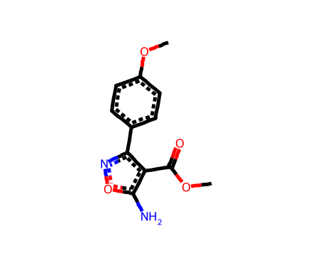 COC(=O)c1c(-c2ccc(OC)cc2)noc1N